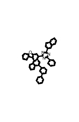 c1ccc(-c2cccc(-c3cc4c(-c5nc(-c6ccccc6)nc(-c6ccc7ccccc7c6)n5)cc5oc6ccccc6c5c4c4ccccc34)c2)cc1